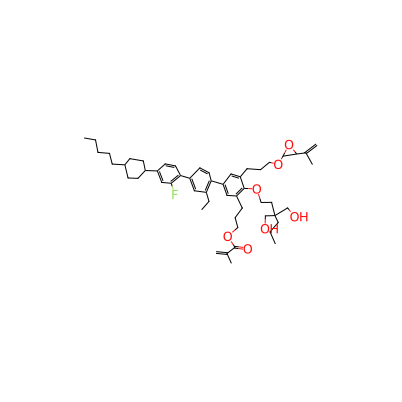 C=C(C)C(=O)OCCCc1cc(-c2ccc(-c3ccc(C4CCC(CCCCC)CC4)cc3F)cc2CC)cc(CCCOC2OC2C(=C)C)c1OCCC(CO)(CO)CCC